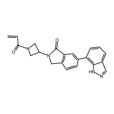 C=CC(=O)N1CC(N2Cc3ccc(-c4cccc5cn[nH]c45)cc3C2=O)C1